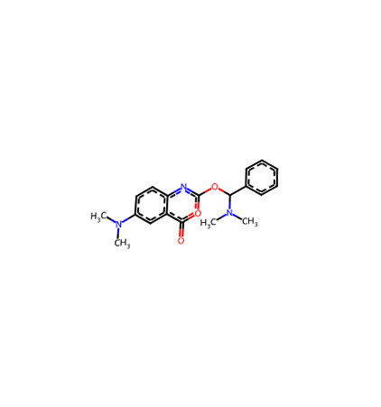 CN(C)c1ccc2nc(OC(c3ccccc3)N(C)C)oc(=O)c2c1